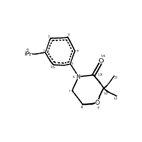 CC(C)c1cccc(N2CCOC(C)(C)C2=O)c1